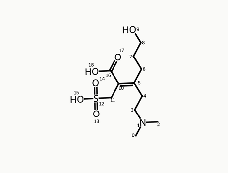 CN(C)CCC(CCCO)=C(CS(=O)(=O)O)C(=O)O